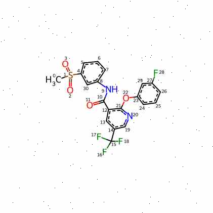 CS(=O)(=O)c1cccc(NC(=O)c2cc(C(F)(F)F)cnc2Oc2cccc(F)c2)c1